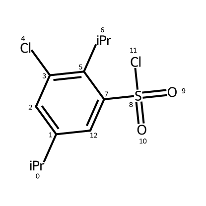 CC(C)c1cc(Cl)c(C(C)C)c(S(=O)(=O)Cl)c1